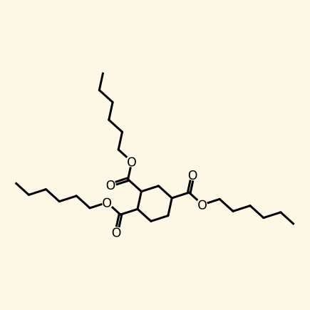 CCCCCCOC(=O)C1CCC(C(=O)OCCCCCC)C(C(=O)OCCCCCC)C1